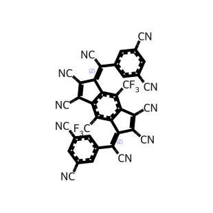 N#CC1=C(C#N)c2c(c(C(F)(F)F)c3c(c2C(F)(F)F)/C(=C(/C#N)c2cc(C#N)cc(C#N)c2)C(C#N)=C3C#N)/C1=C(/C#N)c1cc(C#N)cc(C#N)c1